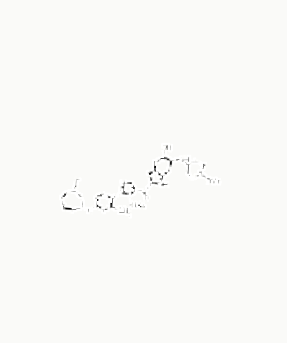 CNc1c(C(=O)c2cc3cc(O)c(NC4CCN(SC)CC4)cc3[nH]2)cnn1-c1ccc(OC2C=CC=CC(F)C2)cc1C